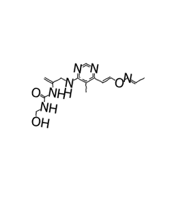 C=C(CNc1ncnc(/C=C/O/N=C/C)c1C)NC(=O)NCO